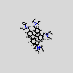 CCN(CC)Cc1cccc(C2(c3cccc(CN(CC)CC)c3)c3cc(CN(CC)CC)ccc3-c3ccc(C(C)(C)N(CC)CC)cc32)c1